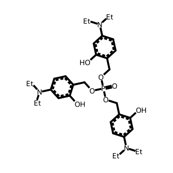 CCN(CC)c1ccc(COP(=O)(OCc2ccc(N(CC)CC)cc2O)OCc2ccc(N(CC)CC)cc2O)c(O)c1